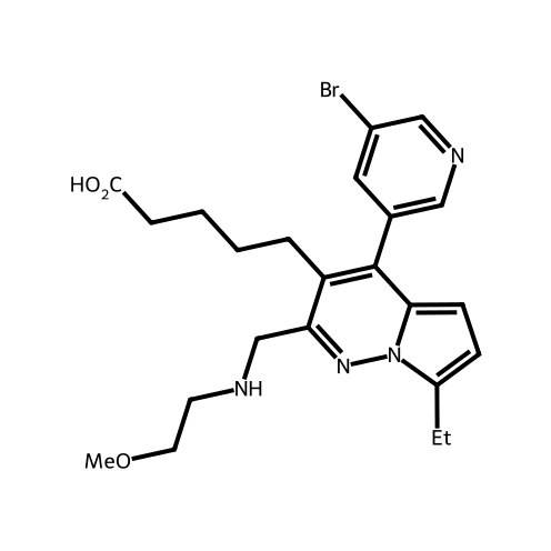 CCc1ccc2c(-c3cncc(Br)c3)c(CCCCC(=O)O)c(CNCCOC)nn12